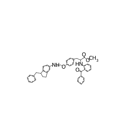 COC(=O)C(Cc1ccc(OCCNc2ccc3c(c2)CCC3Cc2ccccc2)cc1)Nc1ccccc1C(=O)c1ccccc1